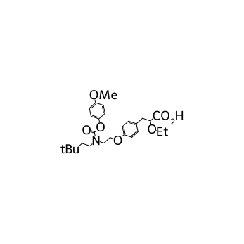 CCOC(Cc1ccc(OCCN(CCC(C)(C)C)C(=O)Oc2ccc(OC)cc2)cc1)C(=O)O